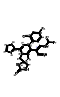 N=C/C(=C\NC(F)F)C1=C2C[C@@]3(CNC(=O)N3)CN2C(c2nccs2)=N[C@H]1c1ccc(F)cc1Cl